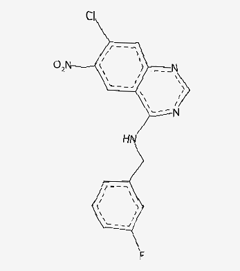 O=[N+]([O-])c1cc2c(NCc3cccc(F)c3)ncnc2cc1Cl